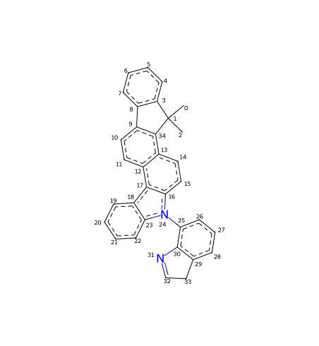 CC1(C)c2ccccc2-c2ccc3c(ccc4c3c3ccccc3n4-c3cccc4c3N=CC4)c21